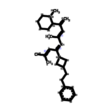 C=C(/C=C(C)/N=C(\C=C(/C)Cl)N1CC(CCc2ccccc2)C1)C1CCCCN1C